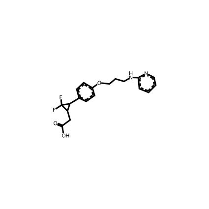 O=C(O)CC1C(c2ccc(OCCCNc3ccccn3)cc2)C1(F)F